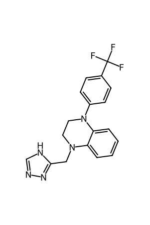 FC(F)(F)c1ccc(N2CCN(Cc3nnc[nH]3)c3ccccc32)cc1